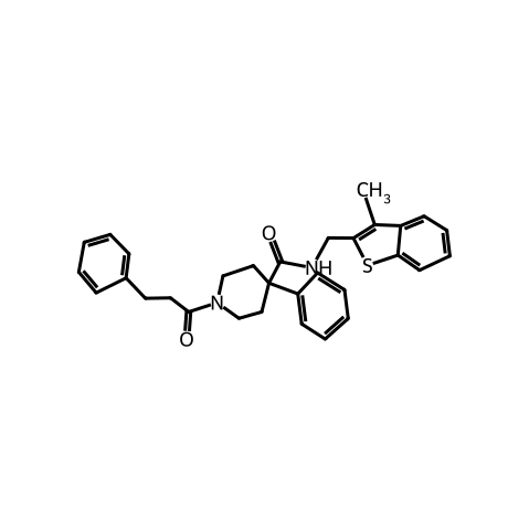 Cc1c(CNC(=O)C2(c3ccccc3)CCN(C(=O)CCc3ccccc3)CC2)sc2ccccc12